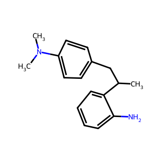 CC(Cc1ccc(N(C)C)cc1)c1ccccc1N